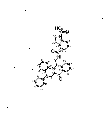 O=C(NCCNC(CC(c1ccccc1)c1ccccc1)C(=O)c1ccccc1)c1cccc2c1CCN2C(=O)O